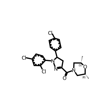 C[C@@H]1CN(C(=O)C2=NN(c3ccc(Cl)cc3Cl)C(c3ccc(Cl)cc3)C2)C[C@H](C)O1